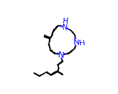 C=C1CCCN(CC/C(C)=C\CCC)CCNCCNCC1